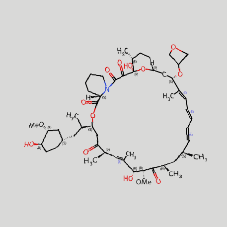 CO[C@@H]1C[C@H](CC(C)[C@@H]2CC(=O)[C@H](C)/C=C(\C)[C@@H](O)[C@@H](OC)C(=O)[C@H](C)C[C@H](C)/C=C/C=C/C=C(\C)[C@@H](OC3COC3)C[C@@H]3CC[C@@H](C)[C@@](O)(O3)C(=O)C(=O)N3CCCC[C@H]3C(=O)O2)CC[C@H]1O